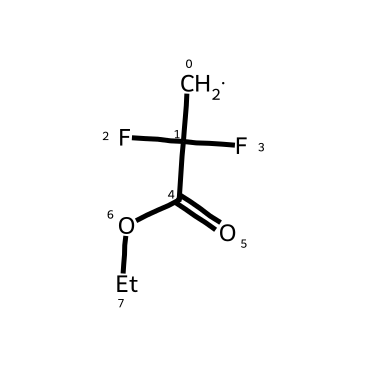 [CH2]C(F)(F)C(=O)OCC